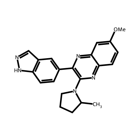 COc1ccc2nc(N3CCCC3C)c(-c3ccc4[nH]ncc4c3)nc2c1